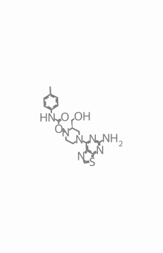 Cc1ccc(NC(=O)ON2CCN(c3nc(N)nc4scnc34)C[C@@H]2CO)cc1